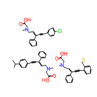 CC(C)c1ccc(C#CC(=CCN(C)CC(=O)O)c2ccccc2)cc1.CN(CC=C(C#Cc1ccc(Cl)cc1)c1ccccc1)CC(=O)O.CN(CC=C(C#Cc1ccccc1C=S)c1ccccc1)CC(=O)O